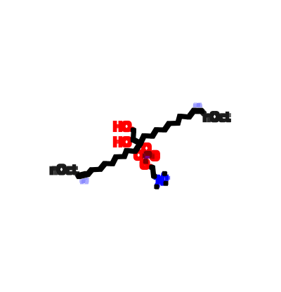 CCCCCCCC/C=C\CCCCCCCCC(CCCCCCCC/C=C\CCCCCCCC)(OP(=O)([O-])OCC[N+](C)(C)C)C(O)CO